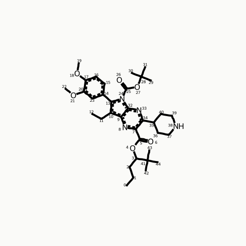 CCCC(OC(=O)c1nc2c(CC)c(-c3ccc(OC)c(OC)c3)n(C(=O)OC(C)(C)C)c2nc1C1CCNCC1)C(C)(C)C